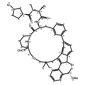 CCn1c(-c2cccnc2[C@H](C)OC)c2c3cc(ccc31)-c1cccc(c1)C[C@H](NC(=O)[C@H](C(C)C)N(C)C(=O)[C@H]1CCN(C(C)=O)C1)C(=O)N1CCCC(C=O)(COCC(C)(C)C2)N1